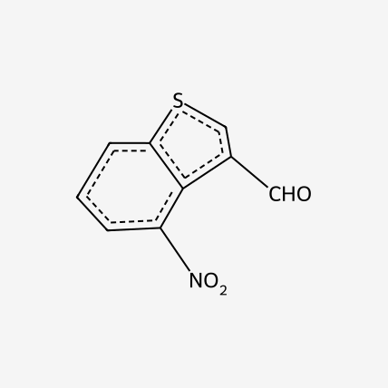 O=Cc1csc2cccc([N+](=O)[O-])c12